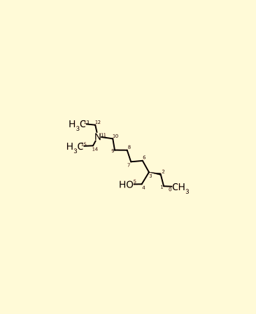 CCC[C@@H](CO)CCCCCN(CC)CC